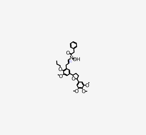 CCCOc1c(C/C=C/N(O)C(=O)Cc2ccccc2)cc(C2CCC(c3cc(OC)c(OC)c(OC)c3)O2)cc1OC